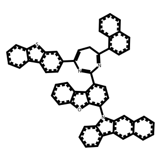 C1=C(c2ccc3c(c2)sc2ccccc23)N=C(c2ccc(-n3c4ccccc4c4cc5ccccc5cc43)c3oc4ccccc4c23)N=C(c2cccc3ccccc23)C1